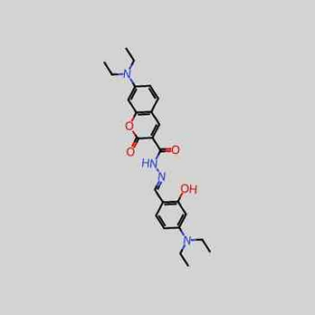 CCN(CC)c1ccc(/C=N/NC(=O)c2cc3ccc(N(CC)CC)cc3oc2=O)c(O)c1